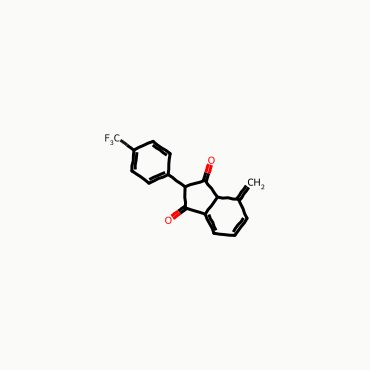 C=C1C=CC=C2C(=O)C(c3ccc(C(F)(F)F)cc3)C(=O)C12